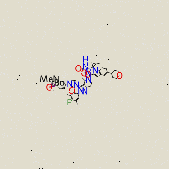 CNc1cc(-n2ccn(-c3c4c(nn3-c3cc(C)c(F)c(C)c3)CCN(C(=O)c3cc5cc(C6CCOCC6)ccc5n3C3(c5noc(=O)[nH]5)CC3C)C4C)c2=O)ccc1P(C)(=O)C(C)(C)C